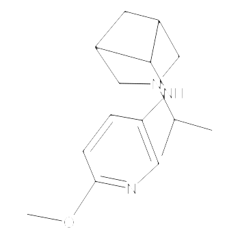 COc1ccc(NC2C3CC2CN(C(C)C)C3)cn1